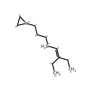 CCC(=C[SiH2]CCCN1CC1)CC